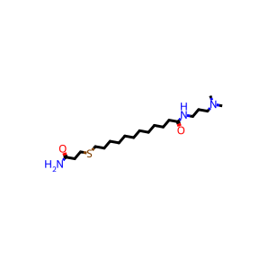 CN(C)CCCNC(=O)CCCCCCCCCCCSCCC(N)=O